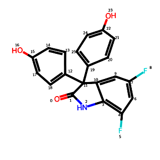 O=C1Nc2c(F)cc(F)cc2C1(c1ccc(O)cc1)c1ccc(O)cc1